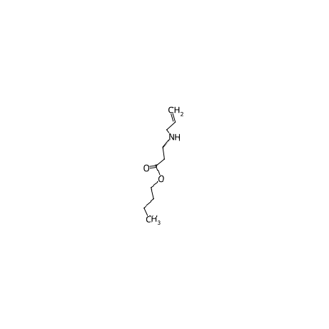 C=CCNCCC(=O)OCCCC